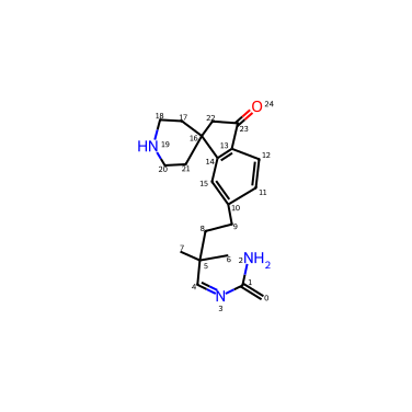 C=C(N)/N=C\C(C)(C)CCc1ccc2c(c1)C1(CCNCC1)CC2=O